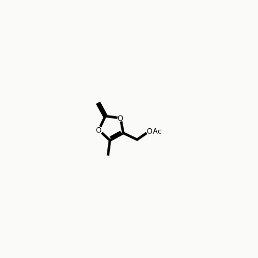 C=C1OC(C)=C(COC(C)=O)O1